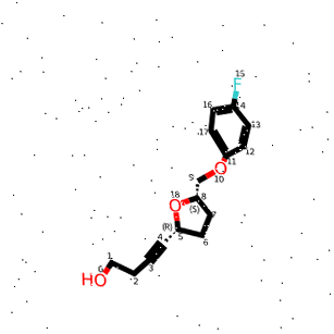 OCCC#C[C@H]1CC[C@@H](COc2ccc(F)cc2)O1